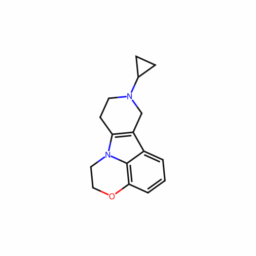 c1cc2c3c(c1)c1c(n3CCO2)CCN(C2CC2)C1